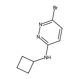 Brc1ccc(NC2CCC2)nn1